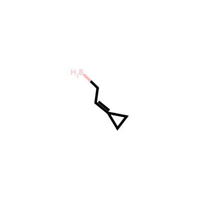 BCC=C1CC1